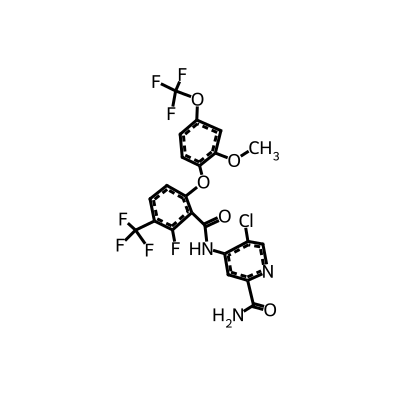 COc1cc(OC(F)(F)F)ccc1Oc1ccc(C(F)(F)F)c(F)c1C(=O)Nc1cc(C(N)=O)ncc1Cl